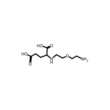 NCCOCCNC(CCC(=O)O)C(=O)O